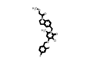 COCC(=O)N1CCc2cc(Cn3c(C)cc(OCc4ccc(F)cc4F)c(Cl)c3=O)ccc21